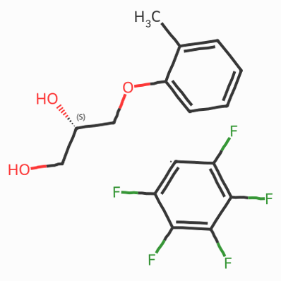 Cc1ccccc1OC[C@@H](O)CO.Fc1[c]c(F)c(F)c(F)c1F